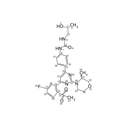 CC(O)CNC(=O)Nc1ccc(-c2cc(-c3cc(F)ccc3S(C)(=O)=O)nc(N3CCOC[C@@H]3C)n2)cc1